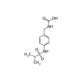 CC(C)S(=O)(=O)Nc1ccc(CNC(=O)O)cc1